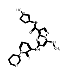 CNc1cc(Nc2cccn([C@H]3CCCOC3)c2=O)nc2c(C(=O)NC3CC[C@@H](O)C3)cnn12